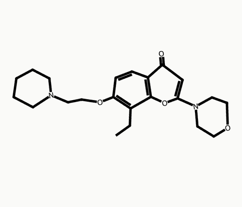 CCc1c(OCCN2CCCCC2)ccc2c(=O)cc(N3CCOCC3)oc12